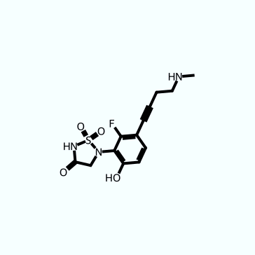 CNCCC#Cc1ccc(O)c(N2CC(=O)NS2(=O)=O)c1F